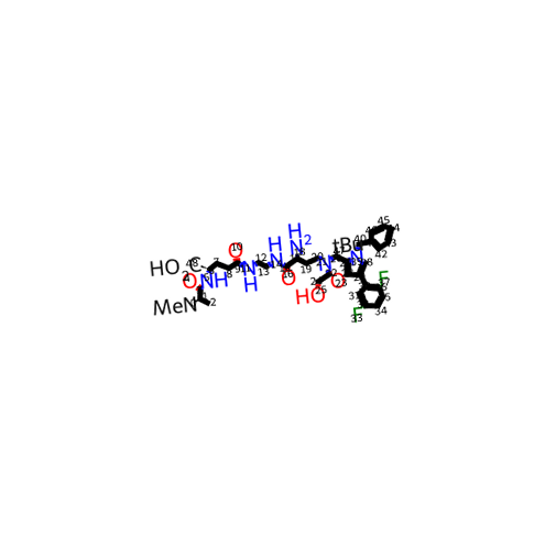 CN[C@@H](C)C(=O)N[C@@H](CCC(=O)NCCNC(=O)[C@@H](N)CCN(C(=O)CO)[C@@H](c1cc(-c2cc(F)ccc2F)cn1Cc1ccccc1)C(C)(C)C)C(=O)O